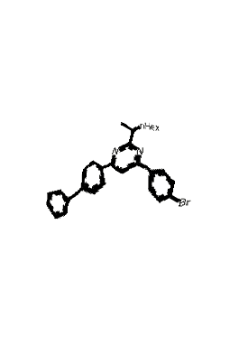 CCCCCCC(C)c1nc(-c2ccc(Br)cc2)cc(-c2ccc(-c3ccccc3)cc2)n1